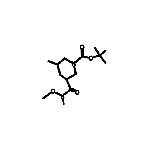 CON(C)C(=O)C1CC(C)CN(C(=O)OC(C)(C)C)C1